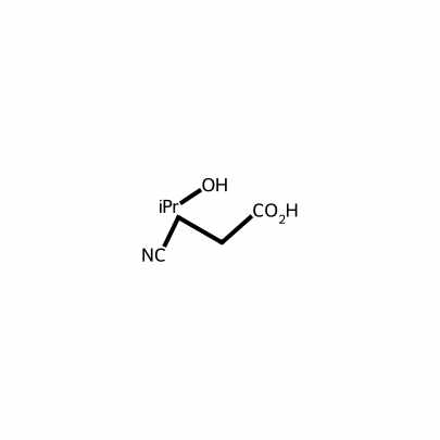 CC(C)O.N#CCCC(=O)O